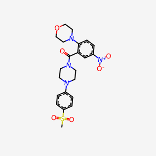 CS(=O)(=O)c1ccc(N2CCN(C(=O)c3cc([N+](=O)[O-])ccc3N3CCOCC3)CC2)cc1